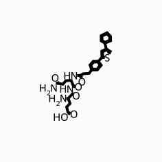 NC(=O)CCC(NC(=O)CCc1ccc(-c2cc(-c3ccccc3)cs2)cc1)C(=O)NC(=O)C(N)CCC(=O)O